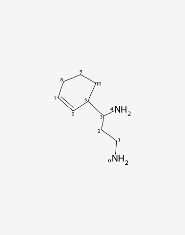 NCCC(N)C1C=CCCC1